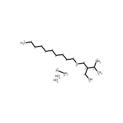 CCCCCCCCCCOCC(CO)C(C)N.Cl.Cl.[NH2][Pt]